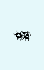 CNC1(C(F)(F)F)C(=O)Nc2nc3c(F)c(F)ccc3n21